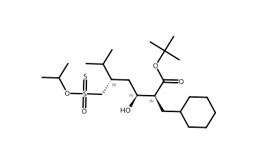 CC(C)OS(=O)(=S)C[C@@H](C[C@H](O)[C@H](CC1CCCCC1)C(=O)OC(C)(C)C)C(C)C